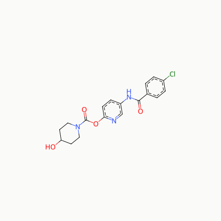 O=C(Nc1ccc(OC(=O)N2CCC(O)CC2)nc1)c1ccc(Cl)cc1